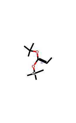 C/C=C(\OC(C)(C)C)O[Si](C)(C)C